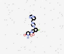 O=C1CCC(N2Cc3c(cc(F)cc3N3CCN(Cc4cccn5ccnc45)CC3)C2=O)C(=O)N1